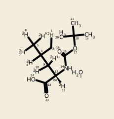 O.[2H]CC([2H])(C([2H])([2H])[2H])C([2H])([2H])[C@]([2H])(NC(=O)OC(C)(C)C)C(=O)O